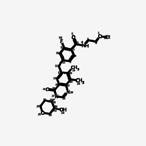 CCOCCNC(=O)c1ccc(Cc2cc3c(=O)n([C@H]4CCOC[C@@H]4O)cnc3c(C)c2C)cc1F